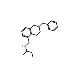 CCC(C)NCc1nccc2c1CCN(Cc1ccccc1)C2